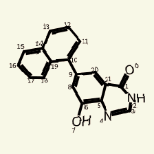 O=c1[nH]cnc2c(O)cc(-c3cccc4ccccc34)cc12